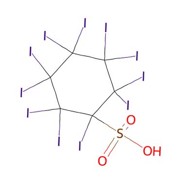 O=S(=O)(O)C1(I)C(I)(I)C(I)(I)C(I)(I)C(I)(I)C1(I)I